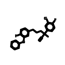 C#CC(C)(CCCc1ccc(F)c(Oc2ccccc2)c1)c1ccc(F)c(Cl)c1